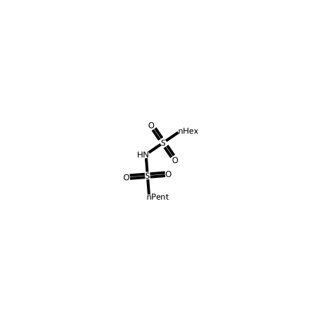 CCCCCCS(=O)(=O)NS(=O)(=O)CCCCC